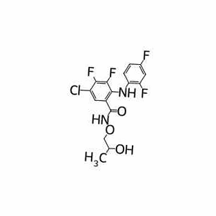 CC(O)CONC(=O)c1cc(Cl)c(F)c(F)c1Nc1ccc(F)cc1F